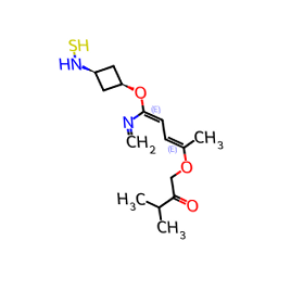 C=N/C(=C\C=C(/C)OCC(=O)C(C)C)O[C@H]1C[C@@H](NS)C1